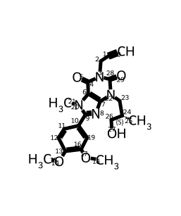 C#CCn1c(=O)c2c(nc(-c3ccc(OC)c(OC)c3)n2C)n(C[C@H](C)CO)c1=O